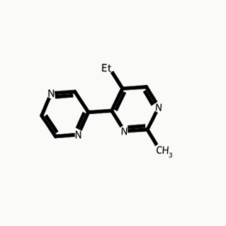 CCc1cnc(C)nc1-c1cnccn1